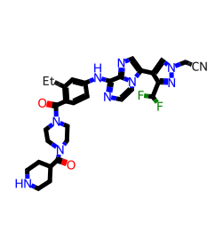 CCc1cc(Nc2nccn3c(-c4cn(CC#N)nc4C(F)F)cnc23)ccc1C(=O)N1CCN(C(=O)C2CCNCC2)CC1